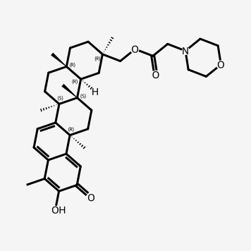 CC1=C(O)C(=O)C=C2C1=CC=C1[C@@]2(C)CC[C@@]2(C)[C@@H]3C[C@](C)(COC(=O)CN4CCOCC4)CC[C@@]3(C)CC[C@]12C